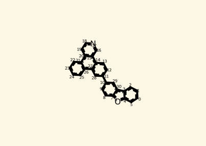 c1ccc2c(c1)oc1ccc(-c3ccc4c5cnccc5c5ccccc5c4c3)cc12